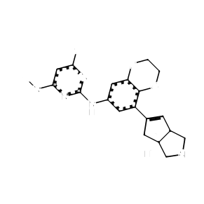 CNc1cc(C)nc(Nc2cc3c(c(C4=CC5CNC[C@H]5C4)c2)OCCO3)n1